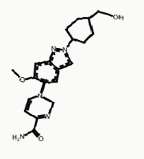 COc1cc2nn(C3CCC(CO)CC3)cc2cc1N1C=CC(C(N)=O)=NC1